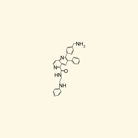 NCc1ccc(-c2nc3ccnc(C(=O)NCCNc4ccccc4)c3cc2-c2ccccc2)cc1